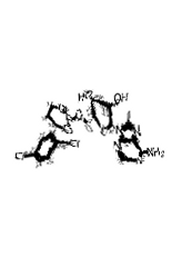 Nc1ncnc2c1ncn2[C@@H]1O[C@H](COP2OCC[C@@H](c3cc(Cl)ccc3Cl)O2)[C@@H](O)[C@H]1O